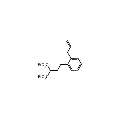 C=CCc1ccccc1CCC(C(=O)OCC)C(=O)OCC